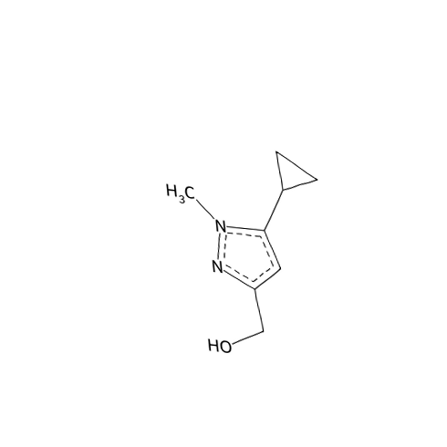 Cn1nc(CO)cc1C1CC1